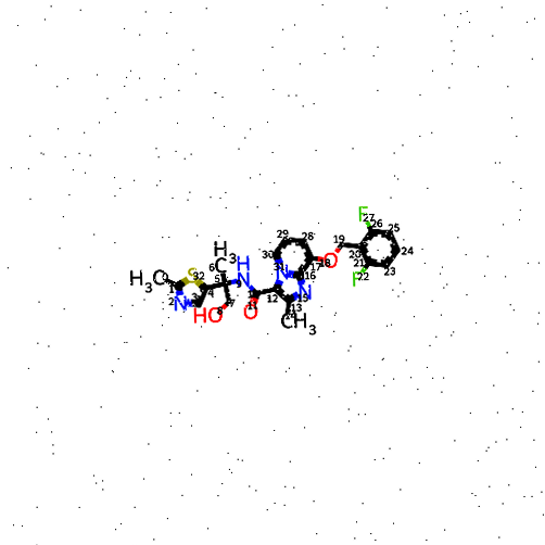 Cc1ncc(C(C)(CO)NC(=O)c2c(C)nc3c(OCc4c(F)cccc4F)cccn23)s1